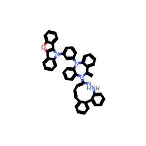 C=C1c2ccccc2N(c2cccc(-n3c4ccccc4c4oc5ccccc5c43)c2)c2ccccc2N1/C1=C/C=C\c2ccccc2-c2ccccc2NN1